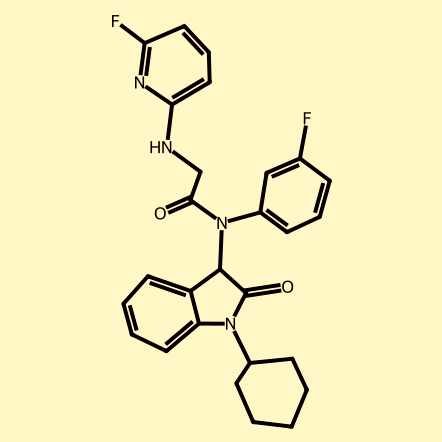 O=C1C(N(C(=O)CNc2cccc(F)n2)c2cccc(F)c2)c2ccccc2N1C1CCCCC1